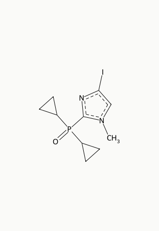 Cn1cc(I)nc1P(=O)(C1CC1)C1CC1